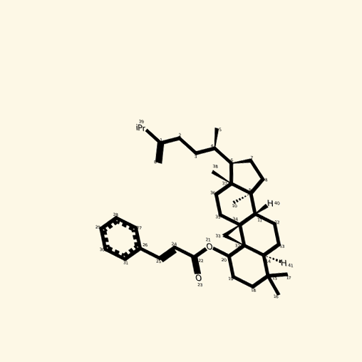 C=C(CC[C@@H](C)[C@H]1CC[C@@]2(C)[C@@H]3CC[C@H]4C(C)(C)CCC(OC(=O)/C=C/c5ccccc5)[C@@]45C[C@@]35CC[C@]12C)C(C)C